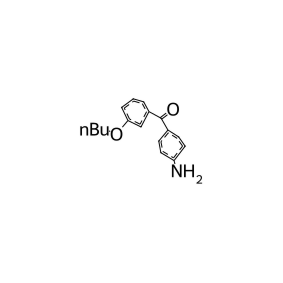 CCCCOc1cccc(C(=O)c2ccc(N)cc2)c1